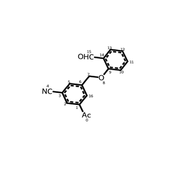 CC(=O)c1cc(C#N)cc(COc2ccccc2C=O)c1